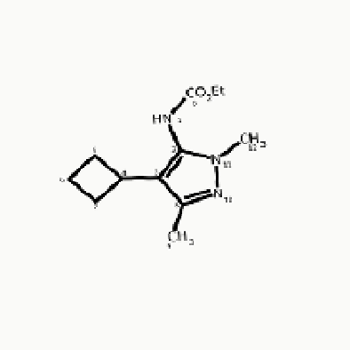 CCOC(=O)Nc1c(C2CCC2)c(C)nn1C